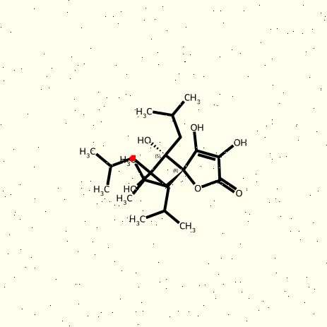 CC(C)CC(O)(CC(C)C)[C@@](O)(CC(C)C)[C@@]1(CC(C)C)OC(=O)C(O)=C1O